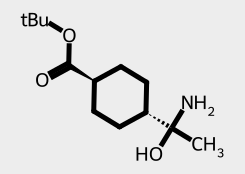 CC(C)(C)OC(=O)[C@H]1CC[C@H](C(C)(N)O)CC1